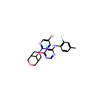 CCc1cnc(N2CC3COCC(C2)C3Oc2ncnc(Nc3ccc(C)cc3F)c2F)nc1